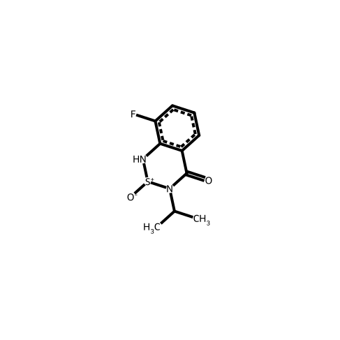 CC(C)N1C(=O)c2cccc(F)c2N[S+]1[O-]